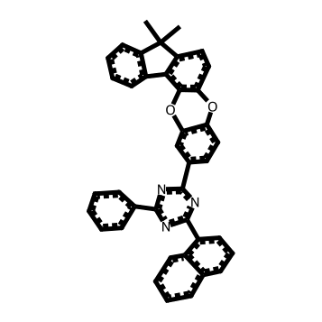 CC1(C)c2ccccc2-c2c1ccc1c2Oc2cc(-c3nc(-c4ccccc4)nc(-c4cccc5ccccc45)n3)ccc2O1